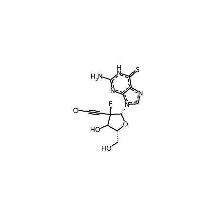 Nc1nc2c(ncn2[C@@H]2O[C@H](CO)C(O)[C@]2(F)C#CCl)c(=S)[nH]1